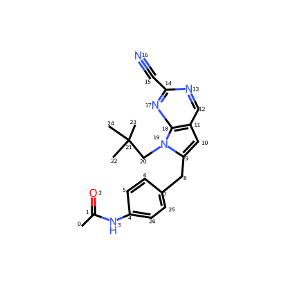 CC(=O)Nc1ccc(Cc2cc3cnc(C#N)nc3n2CC(C)(C)C)cc1